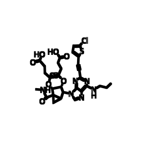 CCCNc1nc(C#Cc2ccc(Cl)s2)nc2c1ncn2C1C2CC2(C(=O)NC)[C@@H](OC(=O)CCC(=O)O)[C@H]1OC(=O)CCC(=O)O